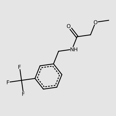 COCC(=O)NCc1cccc(C(F)(F)F)c1